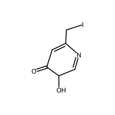 O=C1C=C(CI)N=CC1O